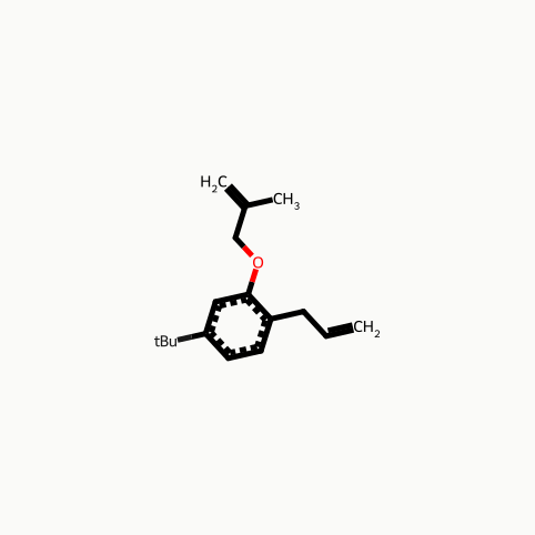 C=CCc1ccc(C(C)(C)C)cc1OCC(=C)C